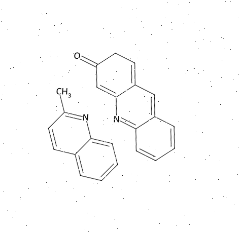 Cc1ccc2ccccc2n1.O=C1C=c2nc3ccccc3cc2=CC1